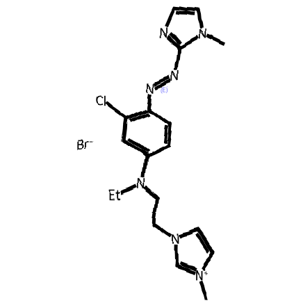 CCN(CCn1cc[n+](C)c1)c1ccc(/N=N/c2nccn2C)c(Cl)c1.[Br-]